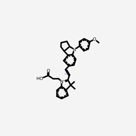 COc1ccc(N2c3ccc(/C=C/C4=[N+](CCC(=O)O)c5ccccc5C4(C)C)cc3C3CCCC32)cc1